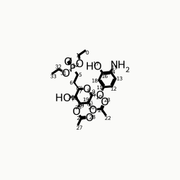 CCOP(=O)(CC[C@H]1O[C@H](Oc2ccc(N)c(O)c2)[C@@H](OC(C)=O)[C@@H](OC(C)=O)[C@@H]1O)OCC